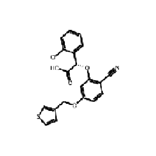 N#Cc1ccc(OCc2ccsc2)cc1O[C@H](C(=O)O)c1ccccc1Cl